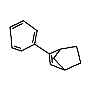 C1=C(c2ccccc2)C2CCC1C2